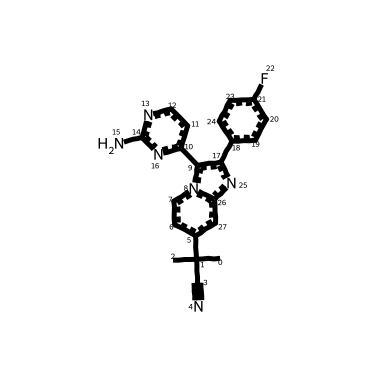 CC(C)(C#N)c1ccn2c(-c3ccnc(N)n3)c(-c3ccc(F)cc3)nc2c1